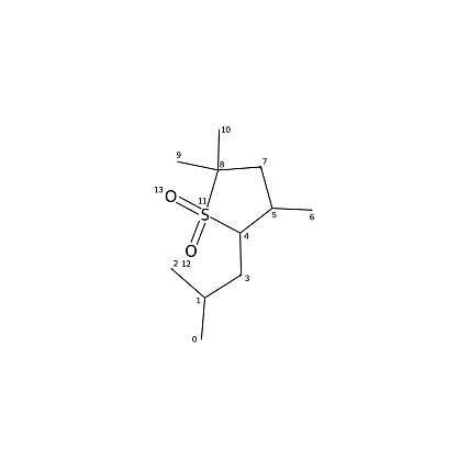 CC(C)CC1C(C)CC(C)(C)S1(=O)=O